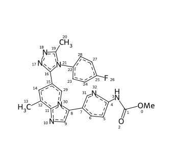 COC(=O)Nc1ccc(-c2cnc3c(C)cc(-c4nnc(C)n4-c4ccc(F)cc4)cn23)cn1